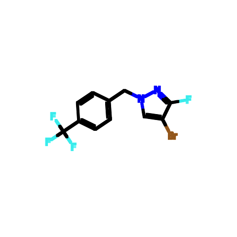 Fc1nn(Cc2ccc(C(F)(F)F)cc2)cc1Br